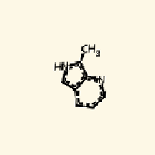 Cc1[nH]cc2cccnc12